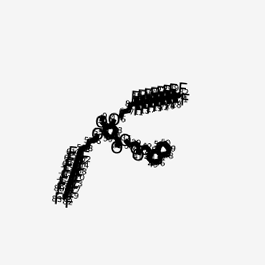 COc1c(OCCCCC(F)(F)C(F)(F)C(F)(F)C(F)(F)C(F)(F)C(F)(F)C(F)(F)C(F)F)cc(C(=O)OC[CH2][Co](=[O])[CH2]c2cccc3ccccc23)cc1OCCCCC(F)(F)C(F)(F)C(F)(F)C(F)(F)C(F)(F)C(F)(F)C(F)(F)C(F)F